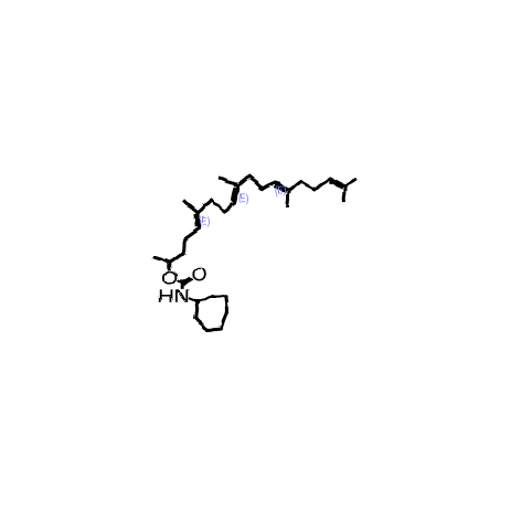 CC(C)=CCC/C(C)=C/CC/C(C)=C/CC/C(C)=C/CCC(C)OC(=O)NC1CCCCCC1